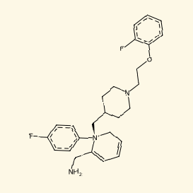 NCC1=CC=CC[N@@+]1(CC1CCN(CCOc2ccccc2F)CC1)c1ccc(F)cc1